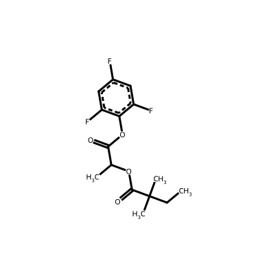 CCC(C)(C)C(=O)OC(C)C(=O)Oc1c(F)cc(F)cc1F